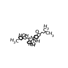 Cc1ccc(C)c(CC(C)Cc2cc[nH]c(=O)c2-c2nc3cc4c(cc3[nH]2)CC(CCC(C)C)C4=O)c1